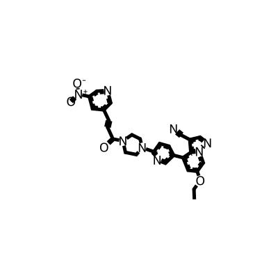 CCOc1cc(-c2ccc(N3CCN(C(=O)C#Cc4cncc([N+](=O)[O-])c4)CC3)nc2)c2c(C#N)cnn2c1